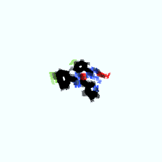 Fc1ccc(-c2noc(-c3cccnc3)n2)cc1.N/C(=N\O)c1ccc(F)cc1